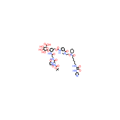 CCN(CCON(C(=O)CCCCCCNc1c(Nc2ccncc2)c(=O)c1=O)C1CCCCC1)C(=O)c1cccc(NC(=O)OCc2ccc(O[C@@H]3O[C@H](C(=O)O)[C@@H](O)[C@H](O)[C@H]3O)c(NC(=O)CCNC(=O)[C@H](CNC(=O)OC(C)(C)C)N3C(=O)C=CC3=O)c2)c1